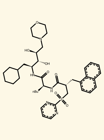 CCCC[C@H](NC(=O)[C@H](Cc1cccc2ccccc12)CS(=O)(=O)c1ncccn1)C(=O)N[C@@H](CC1CCCCC1)[C@@H](O)[C@@H](O)CN1CCOCC1